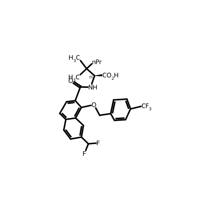 CCCC(C)(C)[C@H](NC(=O)c1ccc2ccc(C(F)F)cc2c1OCc1ccc(C(F)(F)F)cc1)C(=O)O